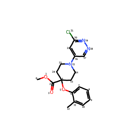 COC(=O)C1(Oc2ccccc2C)CCN(c2cnnc(Cl)c2)CC1